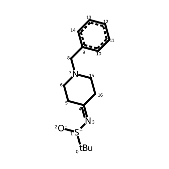 CC(C)(C)[S+]([O-])N=C1CCN(Cc2ccccc2)CC1